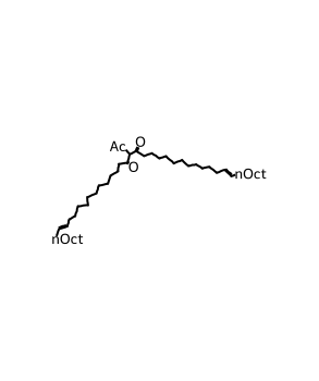 CCCCCCCCC=CCCCCCCCCCCCC(=O)C(C(C)=O)C(=O)CCCCCCCCCCCC=CCCCCCCCC